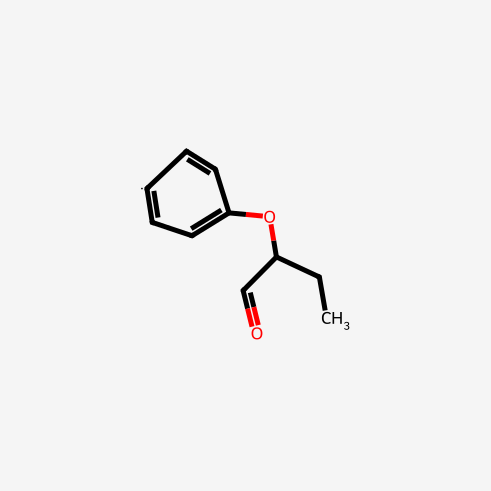 CCC(C=O)Oc1cc[c]cc1